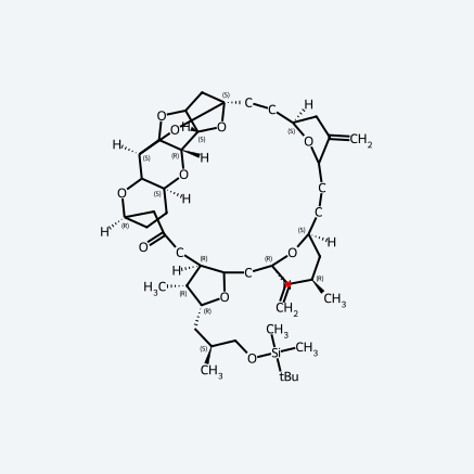 C=C1C[C@@H]2CC[C@@]34CC5OC6[C@@H](O3)C3O[C@H](CC[C@@H]3O[C@H]6[C@H]5O4)CC(=O)C[C@H]3C(C[C@H]4O[C@@H](CCC1O2)C[C@@H](C)C4=C)O[C@H](C[C@H](C)CO[Si](C)(C)C(C)(C)C)[C@@H]3C